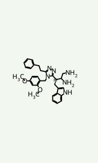 COc1ccc(Cn2c(CCc3ccccc3)nnc2[C@H](Cc2c[nH]c3ccccc23)C(N)CN)c(OC)c1